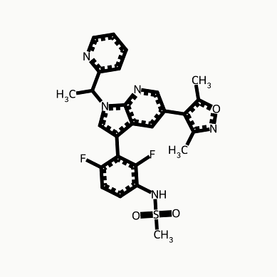 Cc1noc(C)c1-c1cnc2c(c1)c(-c1c(F)ccc(NS(C)(=O)=O)c1F)cn2C(C)c1ccccn1